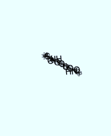 CC(C)(C)CC(=O)NCCOCCOCCOCCOCCNC(=O)CCSC(C)(C)C